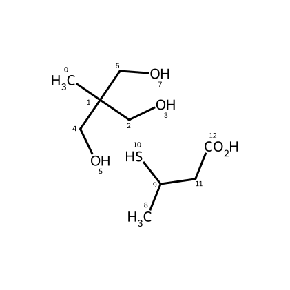 CC(CO)(CO)CO.CC(S)CC(=O)O